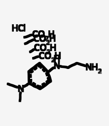 CC(=O)O.CC(=O)O.CC(=O)O.CC(=O)O.CN(C)c1ccc(NCCN)cc1.Cl